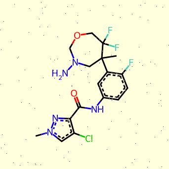 Cn1cc(Cl)c(C(=O)Nc2ccc(F)c(C3(C)CN(N)COCC3(F)F)c2)n1